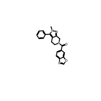 Cn1nc2c(c1-c1ccccc1)CCN(C(=O)c1ccc3ncoc3c1)C2